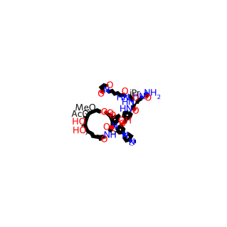 CO[C@H]1/C=C/O[C@@]2(C)Oc3c(C)c(O)c4c(=O)c(c5sc6cc(N7CCC(N(C)C)CC7)cc(OCc7ccc(NC(=O)[C@H](CCCNC(N)=O)NC(=O)[C@@H](NC(=O)CCCCCN8C(=O)C=CC8=O)C(C)C)cc7)c6nc-5c4c3C2=O)NC(=O)/C(C)=C\C=C\[C@H](C)[C@H](O)[C@@H](C)[C@@H](O)[C@@H](C)[C@H](OC(C)=O)[C@@H]1C